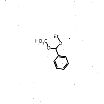 CCOC(OC(=O)O)c1ccccc1